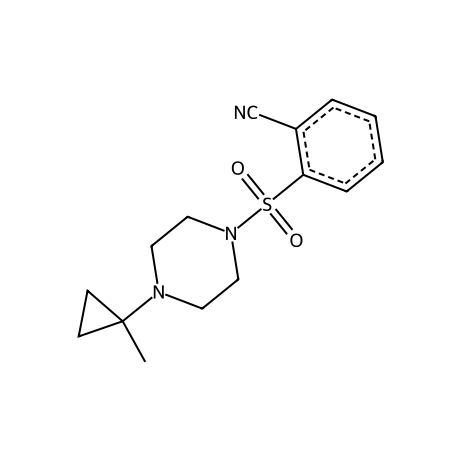 CC1(N2CCN(S(=O)(=O)c3ccccc3C#N)CC2)CC1